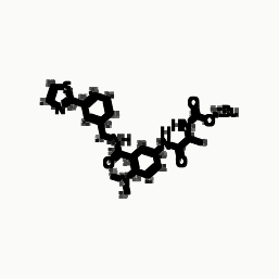 CC(NC(=O)OC(C)(C)C)C(=O)Nc1ccc(N(C)C)c(C(=O)NCc2cccc(-c3nccs3)c2)c1